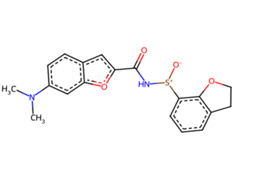 CN(C)c1ccc2cc(C(=O)N[S+]([O-])c3cccc4c3OCC4)oc2c1